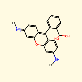 CC/N=c1\ccc2c(-c3ccccc3C(O)O)c3ccc(NCC)cc3oc-2c1